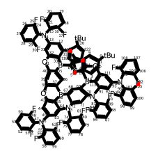 CC(C)(C)c1ccc2sc3c(c2c1)Oc1cc(N(c2c(F)cccc2F)c2c(F)cccc2F)cc2c1B3c1cc3c(cc1O2)Oc1cc(N(c2c(F)cccc2F)c2c(F)cccc2F)cc2c1B3c1cc3c(cc1N2c1c(F)cccc1F)N(c1c(F)cccc1F)c1cc(N(c2c(F)cccc2F)c2c(F)cccc2F)cc2c1B3c1sc3ccc(C(C)(C)C)cc3c1O2